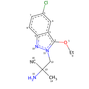 CCOc1c2cc(Cl)ccc2nn1CC(C)(N)C#N